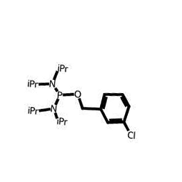 CC(C)N(C(C)C)P(OCc1cccc(Cl)c1)N(C(C)C)C(C)C